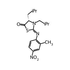 Cc1cc([N+](=O)[O-])ccc1N=C1SC(=O)[C@H](CC(C)C)N1CC(C)C